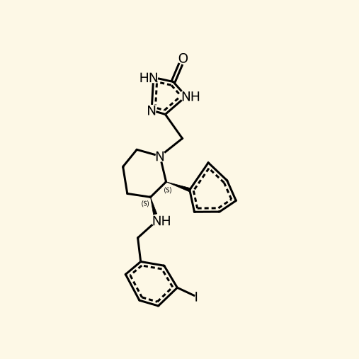 O=c1[nH]nc(CN2CCC[C@H](NCc3cccc(I)c3)[C@@H]2c2ccccc2)[nH]1